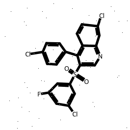 O=S(=O)(c1cc(F)cc(Cl)c1)c1cnc2cc(Cl)ccc2c1-c1ccc(Cl)cc1